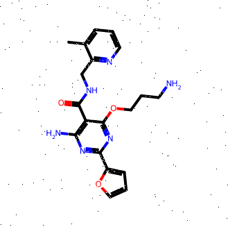 Cc1cccnc1CNC(=O)c1c(N)nc(-c2ccco2)nc1OCCCN